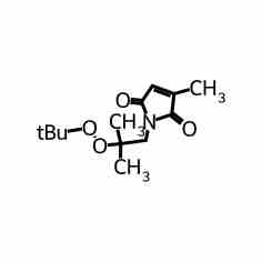 CC1=CC(=O)N(CC(C)(C)OOC(C)(C)C)C1=O